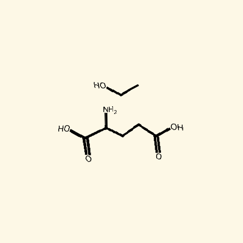 CCO.NC(CCC(=O)O)C(=O)O